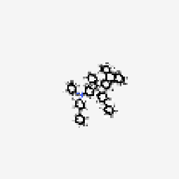 c1ccc(-c2ccc(N(c3ccccc3)c3ccc([Si](c4ccccc4)(c4ccc(-c5ccccc5)cc4)c4ccc5c6ccccc6c6ccccc6c5c4)cc3)cc2)cc1